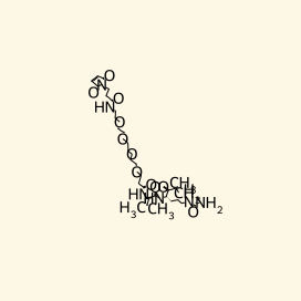 CC(C)C(=O)[C@H](CCCNC(N)=O)NC(=O)[C@@H](NC(=O)CCOCCOCCOCCOCCNC(=O)CCN1C(=O)C=CC1=O)C(C)C